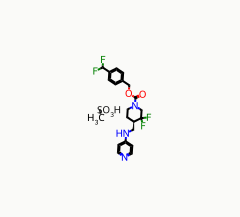 CS(=O)(=O)O.O=C(OCc1ccc(C(F)F)cc1)N1CC[C@H](CNc2ccncc2)C(F)(F)C1